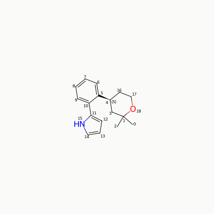 CC1(C)C[C@@H](c2ccccc2-c2ccc[nH]2)CCO1